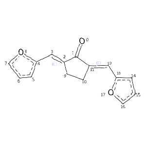 O=C1/C(=C/c2ccco2)CC/C1=C\c1ccco1